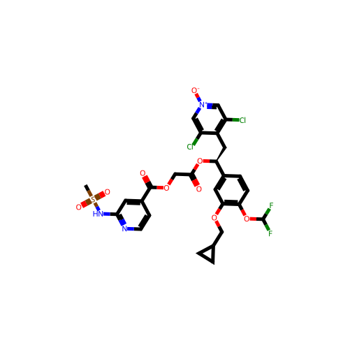 CS(=O)(=O)Nc1cc(C(=O)OCC(=O)O[C@@H](Cc2c(Cl)c[n+]([O-])cc2Cl)c2ccc(OC(F)F)c(OCC3CC3)c2)ccn1